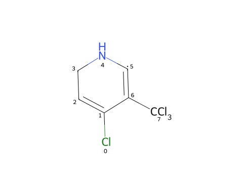 ClC1=CCN[C]=C1C(Cl)(Cl)Cl